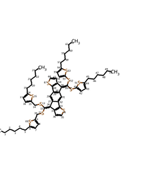 CCCCCCc1ccc(CSC(SCc2ccc(CCCCCC)s2)=C2c3cc4c(cc3-c3sccc32)C(=C(Sc2ccc(CCCCCC)s2)Sc2ccc(CCCCCC)s2)c2ccsc2-4)s1